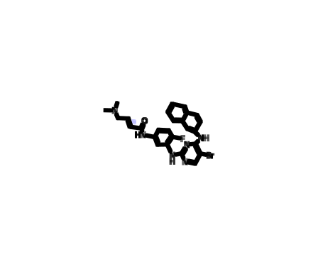 CN(C)C/C=C/C(=O)Nc1ccc(F)c(Nc2ncc(Br)c(Nc3ccc4ccccc4c3)n2)c1